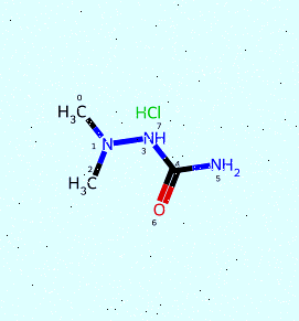 CN(C)NC(N)=O.Cl